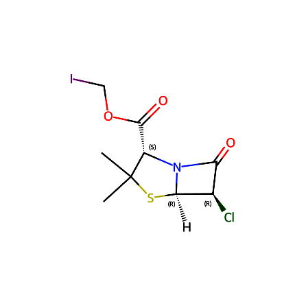 CC1(C)S[C@@H]2[C@H](Cl)C(=O)N2[C@H]1C(=O)OCI